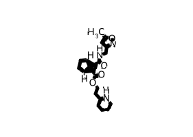 Cc1cc(CNC(=O)[C@H]2[C@H](C(=O)OCCC3CCCCN3)[C@H]3CC[C@@H]2C32CC2)no1